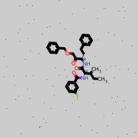 CCC(C)[C@H](NC(=O)c1cccc(F)c1)C(=O)N[C@@H](CCc1ccccc1)C(=O)COCc1ccccc1